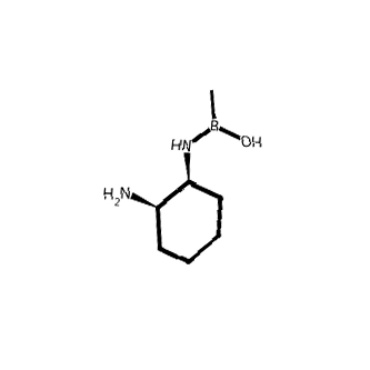 CB(O)N[C@H]1CCCC[C@H]1N